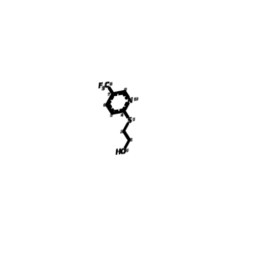 OCCSc1ccc(C(F)(F)F)cn1